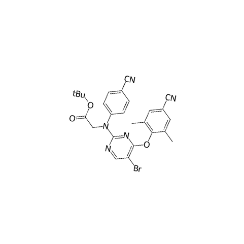 Cc1cc(C#N)cc(C)c1Oc1nc(N(CC(=O)OC(C)(C)C)c2ccc(C#N)cc2)ncc1Br